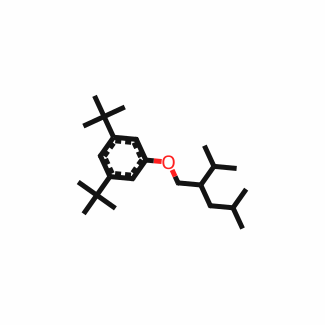 CC(C)CC(COc1cc(C(C)(C)C)cc(C(C)(C)C)c1)C(C)C